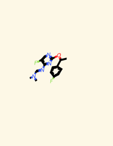 CC(Oc1ncc(F)c(/N=C/N(C)C)n1)c1ccc(F)cc1